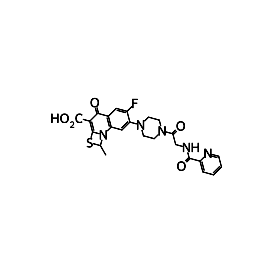 CC1Sc2c(C(=O)O)c(=O)c3cc(F)c(N4CCN(C(=O)CNC(=O)c5ccccn5)CC4)cc3n21